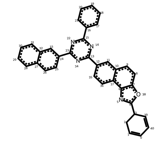 C1=CCC(c2nc3c(ccc4cc(-c5nc(-c6ccccc6)nc(-c6ccc7ccccc7c6)n5)ccc43)o2)C=C1